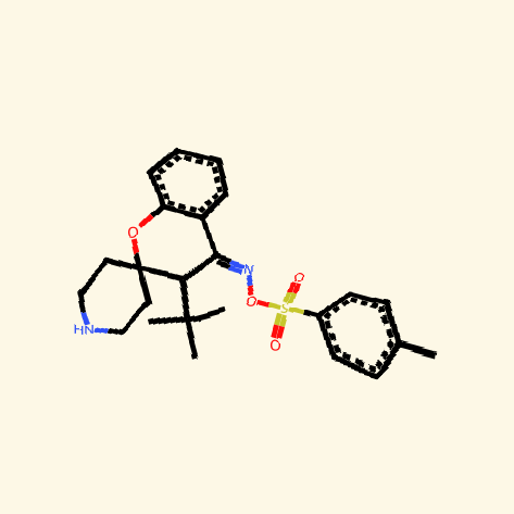 Cc1ccc(S(=O)(=O)O/N=C2/c3ccccc3OC3(CCNCC3)C2C(C)(C)C)cc1